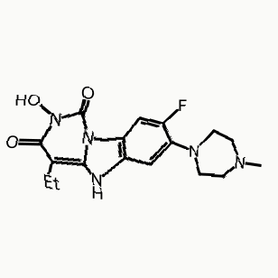 CCc1c(=O)n(O)c(=O)n2c1[nH]c1cc(N3CCN(C)CC3)c(F)cc12